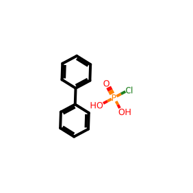 O=P(O)(O)Cl.c1ccc(-c2ccccc2)cc1